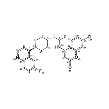 CC(C[C@H]1CC[C@H](c2ccnc3ccc(F)cc32)CC1)Nc1cc(=O)oc2cc(Cl)ccc12